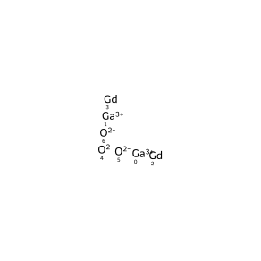 [Ga+3].[Ga+3].[Gd].[Gd].[O-2].[O-2].[O-2]